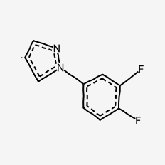 Fc1ccc(-n2c[c]cn2)cc1F